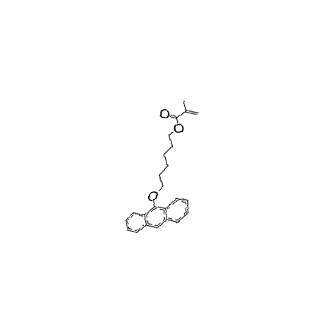 C=C(C)C(=O)OCCCCCCOc1c2ccccc2cc2ccccc12